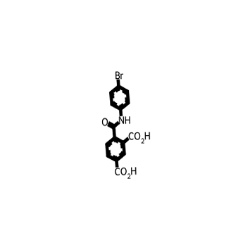 O=C(O)c1ccc(C(=O)Nc2ccc(Br)cc2)c(C(=O)O)c1